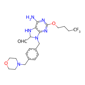 Nc1nc(OCCCC(F)(F)F)nc2c1NC(C=O)N2Cc1ccc(CN2CCOCC2)cc1